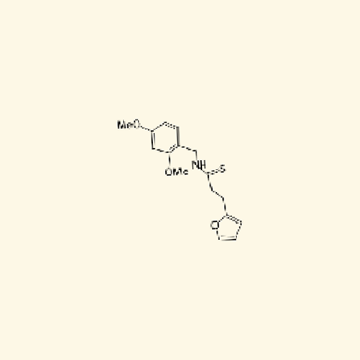 COc1ccc(CNC(=S)CCc2ccco2)c(OC)c1